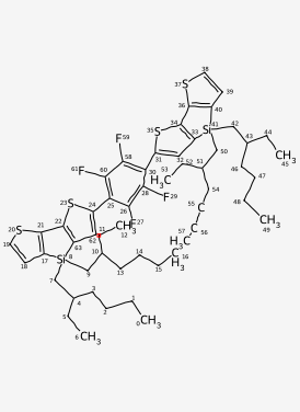 CCCCC(CC)C[Si]1(CC(CC)CCCC)c2ccsc2-c2sc(-c3c(F)c(F)c(-c4cc5c(s4)-c4sccc4[Si]5(CC(CC)CCCC)CC(CC)CCCC)c(F)c3F)cc21